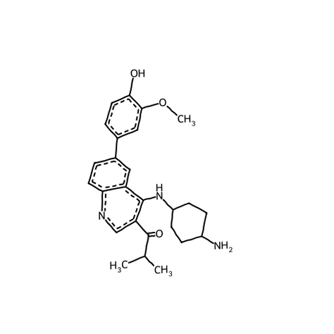 COc1cc(-c2ccc3ncc(C(=O)C(C)C)c(NC4CCC(N)CC4)c3c2)ccc1O